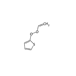 C=COOc1cccs1